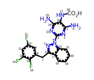 Nc1nc(-n2nc(Cc3cc(F)cc(F)c3F)c3ccccc32)nc(N)c1NC(=O)O